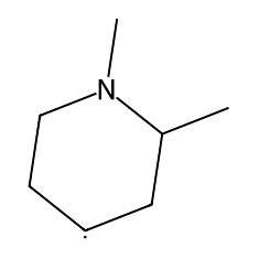 CC1C[CH]CCN1C